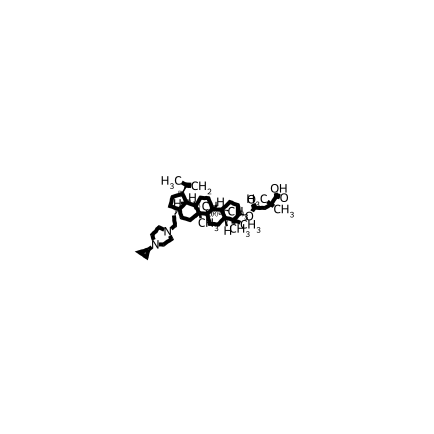 C=C(C)[C@@H]1CC[C@]2(CCN3CCN(C4CC4)CC3)CC[C@]3(C)[C@H](CC[C@@H]4[C@@]5(C)CC[C@H](OC(=O)CC(C)(C)C(=O)O)C(C)(C)[C@@H]5CC[C@]43C)[C@@H]12